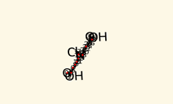 O=C(O)CCCCCCCCCCCN(CCCl)CCCCCCCCCCCC(=O)O